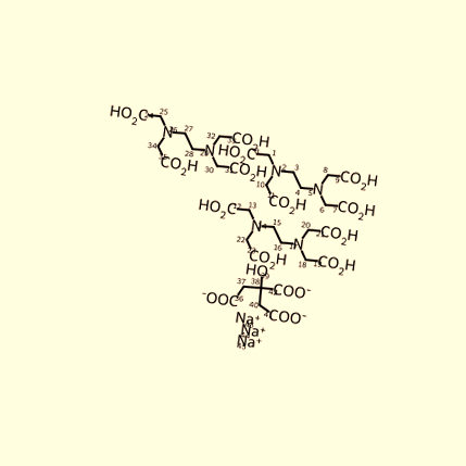 O=C(O)CN(CCN(CC(=O)O)CC(=O)O)CC(=O)O.O=C(O)CN(CCN(CC(=O)O)CC(=O)O)CC(=O)O.O=C(O)CN(CCN(CC(=O)O)CC(=O)O)CC(=O)O.O=C([O-])CC(O)(CC(=O)[O-])C(=O)[O-].[Na+].[Na+].[Na+]